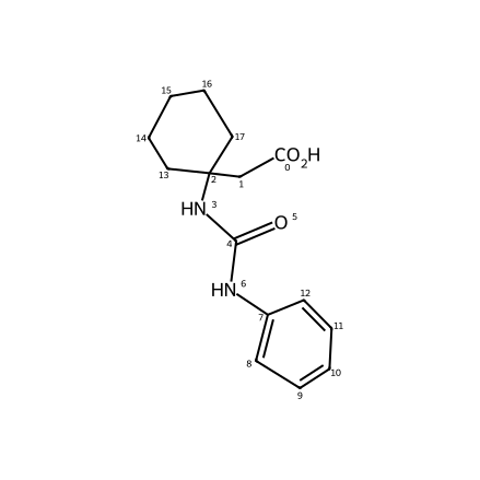 O=C(O)CC1(NC(=O)Nc2ccccc2)CCCCC1